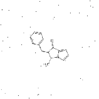 CC1C(Cc2ccccc2)C(=O)c2cccn21